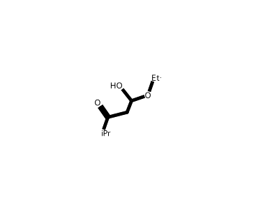 C[CH]OC(O)CC(=O)C(C)C